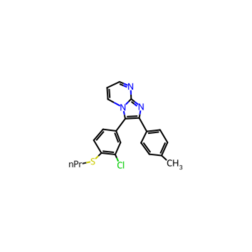 CCCSc1ccc(-c2c(-c3ccc(C)cc3)nc3ncccn23)cc1Cl